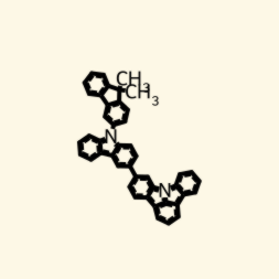 CC1(C)c2ccccc2-c2cc(-n3c4ccccc4c4cc(-c5ccc6c7cccc8c9ccccc9n(c6c5)c87)ccc43)ccc21